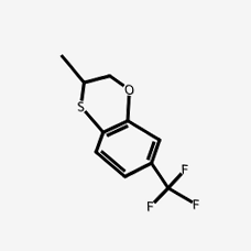 CC1COc2cc(C(F)(F)F)ccc2S1